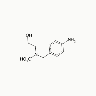 Nc1ccc(CN(CCO)C(=O)O)cc1